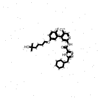 CC(C)(O)CCCCOc1ccc(F)c(-c2cc(NC(=O)c3nnc(CC4CCCCC4)[nH]3)ncc2Cl)c1